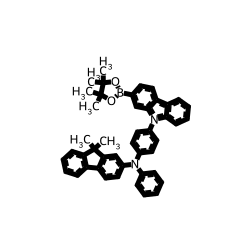 CC1(C)c2ccccc2-c2ccc(N(c3ccccc3)c3ccc(-n4c5ccccc5c5ccc(B6OC(C)(C)C(C)(C)O6)cc54)cc3)cc21